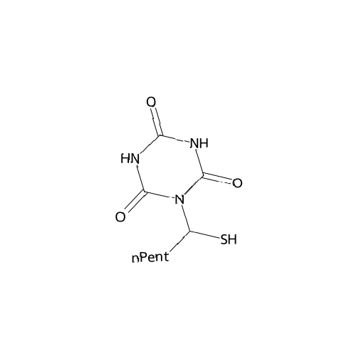 CCCCCC(S)n1c(=O)[nH]c(=O)[nH]c1=O